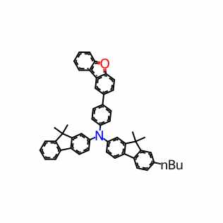 CCCCc1ccc2c(c1)C(C)(C)c1cc(N(c3ccc(-c4ccc5oc6ccccc6c5c4)cc3)c3ccc4c(c3)C(C)(C)c3ccccc3-4)ccc1-2